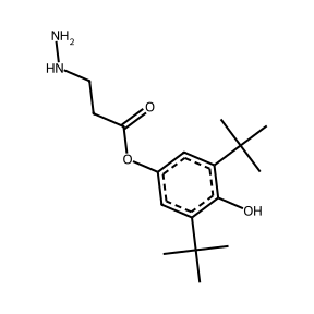 CC(C)(C)c1cc(OC(=O)CCNN)cc(C(C)(C)C)c1O